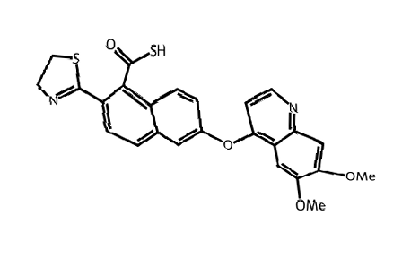 COc1cc2nccc(Oc3ccc4c(C(=O)S)c(C5=NCCS5)ccc4c3)c2cc1OC